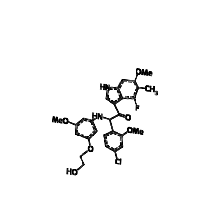 COc1cc(NC(C(=O)c2c[nH]c3cc(OC)c(C)c(F)c23)c2ccc(Cl)cc2OC)cc(OCCO)c1